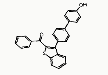 O=C(c1ccccc1)c1sc2ccccc2c1-c1ccc(-c2ccc(O)cc2)cc1